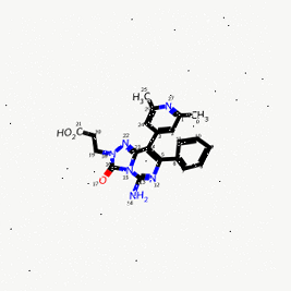 Cc1cc(-c2c(-c3ccccc3)nc(N)n3c(=O)n(CCC(=O)O)nc23)cc(C)n1